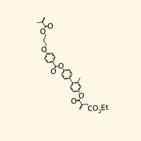 C=C(C)C(=O)OCCCOc1ccc(C(=O)Oc2ccc(-c3ccc(OC(=O)C(=C)CC(=O)OCC)cc3C)cc2)cc1